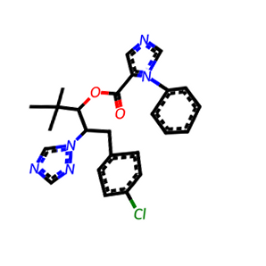 CC(C)(C)C(OC(=O)c1cncn1-c1ccccc1)C(Cc1ccc(Cl)cc1)n1cncn1